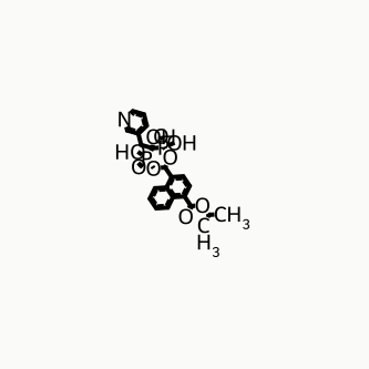 CC(C)OC(=O)c1ccc(C2OP(=O)(O)C(O)(Cc3cccnc3)P(=O)(O)O2)c2ccccc12